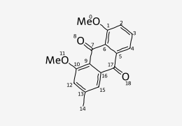 COc1cccc2c1C(=O)c1c(OC)cc(C)cc1C2=O